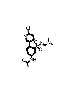 CC(=O)Nc1ccc(-c2ccc(Cl)nc2)c(S(=O)(=O)/N=C/N(C)C)c1